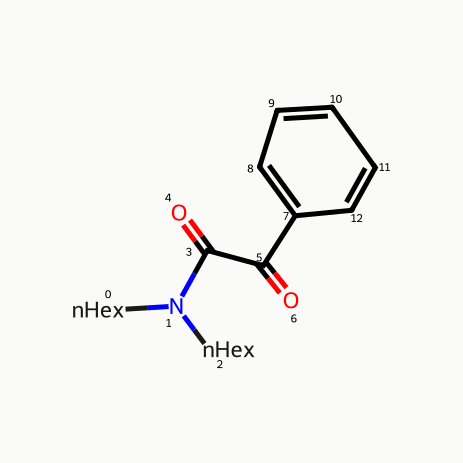 CCCCCCN(CCCCCC)C(=O)C(=O)c1ccccc1